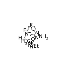 CCc1nnn(C)c1COc1nc(N)nc(-c2ccc(F)cc2)c1-c1cc(C)nc(C(F)F)c1